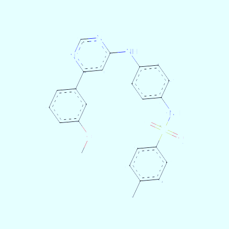 COc1cccc(-c2cc(Nc3ccc(NS(=O)(=O)c4ccc(C)cc4)cc3)ncn2)c1